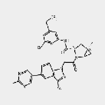 CC(=O)c1nn(CC(=O)N2C3C[C@]3(C)C[C@H]2C(=O)Nc2cc(CC(F)(F)F)cc(Br)n2)c2ccc(-c3cnc(C)nc3)cc12